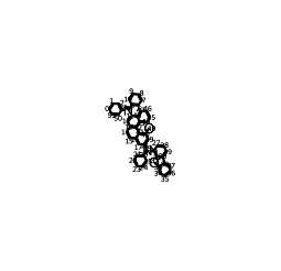 c1ccc(N(c2ccccc2)c2cc3ccc4cc(N(c5ccccc5)c5cccc6c5oc5ccccc56)cc5c4c3c3c(cccc23)O5)cc1